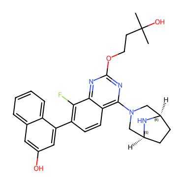 CC(C)(O)CCOc1nc(N2C[C@H]3CC[C@@H](C2)N3)c2ccc(-c3cc(O)cc4ccccc34)c(F)c2n1